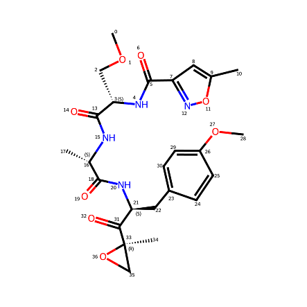 COC[C@H](NC(=O)c1cc(C)on1)C(=O)N[C@@H](C)C(=O)N[C@@H](Cc1ccc(OC)cc1)C(=O)[C@@]1(C)CO1